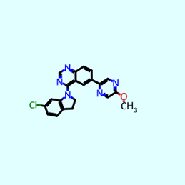 COc1cnc(-c2ccc3ncnc(N4CCc5ccc(Cl)cc54)c3c2)cn1